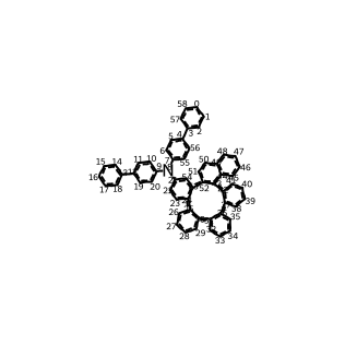 c1ccc(-c2ccc(N(c3ccc(-c4ccccc4)cc3)c3ccc4c5ccccc5c5ccccc5c5ccccc5c5c6ccccc6ccc5c4c3)cc2)cc1